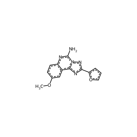 COc1ccc2nc(N)n3nc(-c4ccco4)nc3c2c1